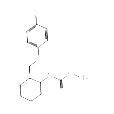 CC(C)(C)OC(=O)NC1CCCC[C@H]1CSc1ccc(Br)cc1